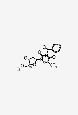 CCOC[C@@H]1O[C@H](n2cc(C(F)(F)F)c(=O)n(C(=O)c3ccccc3)c2=O)CC1O